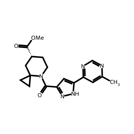 COC(=O)[C@@H]1CCN(C(=O)c2cc(-c3cc(C)ncn3)[nH]n2)C2(CC2)C1